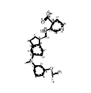 CN(c1cccc(OC(F)F)c1)c1ccc2c(c1)CC[C@H]2CNc1cnccc1C(=O)O